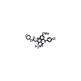 C=C(c1ccc(Cl)cc1)c1cc(OC)ccc1N(C(=C)[C@@H](N)CC(=O)OC1CCOCC1)/C(C)=N\N